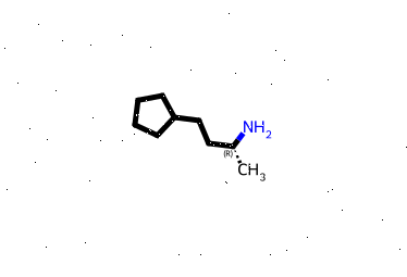 C[C@@H](N)CCC1CCCC1